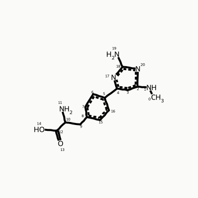 CNc1cc(-c2ccc(CC(N)C(=O)O)cc2)nc(N)n1